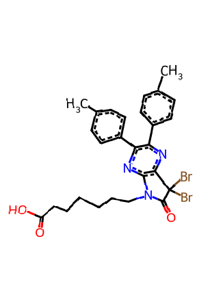 Cc1ccc(-c2nc3c(nc2-c2ccc(C)cc2)C(Br)(Br)C(=O)N3CCCCCCC(=O)O)cc1